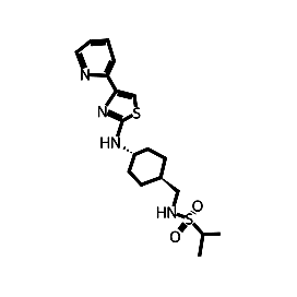 CC(C)S(=O)(=O)NC[C@H]1CC[C@H](Nc2nc(-c3ccccn3)cs2)CC1